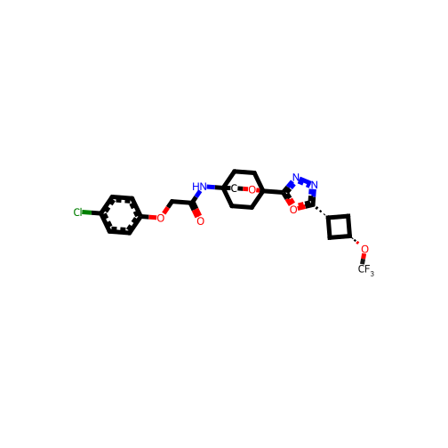 O=C(COc1ccc(Cl)cc1)NC12CCC(c3nnc([C@H]4C[C@@H](OC(F)(F)F)C4)o3)(CC1)OC2